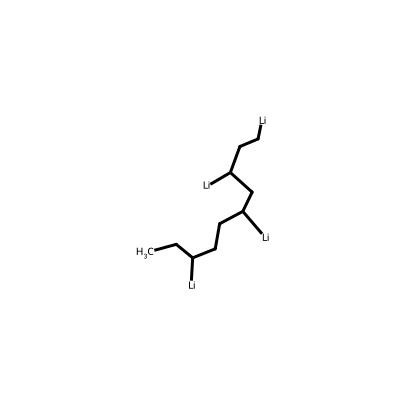 [Li][CH2]C[CH]([Li])C[CH]([Li])CC[CH]([Li])CC